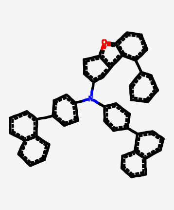 c1ccc(-c2cccc3oc4ccc(N(c5ccc(-c6cccc7ccccc67)cc5)c5ccc(-c6cccc7ccccc67)cc5)cc4c23)cc1